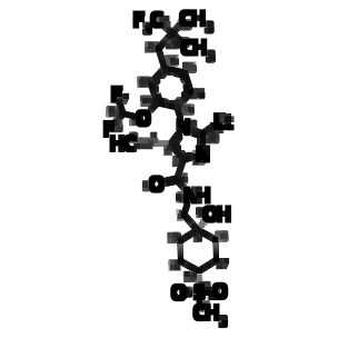 C#Cc1c(C(=O)NC[C@]2(O)CC[C@@H](S(C)(=O)=O)CC2)nc(CC)n1-c1ccc(CC(C)(C)C(F)(F)F)cc1OC(F)F